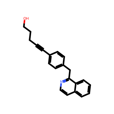 OCCCC#Cc1ccc(Cc2nccc3ccccc23)cc1